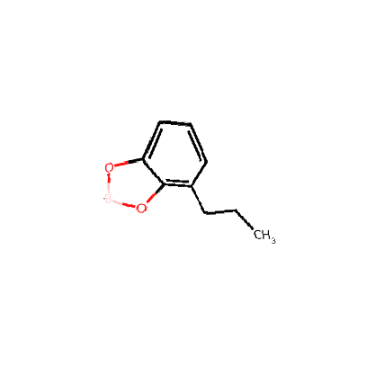 CCCc1cccc2c1O[B]O2